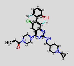 C=CC(=O)N1CCN(c2nc(NCC3CCN(C4CC4)CC3)nc3c(F)c(-c4c(O)cccc4F)c(Cl)cc23)CC1